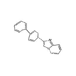 c1ccc(-c2ccc(-c3cn4ccccc4n3)cc2)cc1